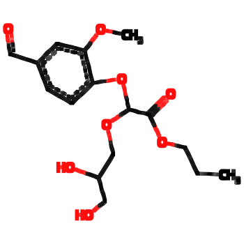 CCCOC(=O)C(OCC(O)CO)Oc1ccc(C=O)cc1OC